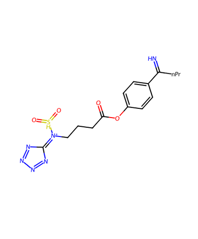 CCCC(=N)c1ccc(OC(=O)CCC[N+](=C2N=NN=N2)[SH](=O)=O)cc1